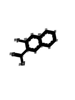 O=C(Cl)c1cc2ccccc2cc1F